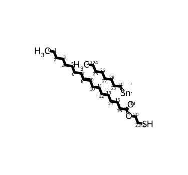 CCCCCCCCC=CCCCCCCCC(=O)OCCS.CCCCCCC[CH2][Sn]